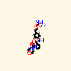 NC(=O)OCCc1ccc(NC(=O)C2CCCN2C(=O)N2CCOCC2)cc1